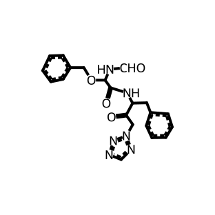 O=CNC(OCc1ccccc1)C(=O)NC(Cc1ccccc1)C(=O)Cn1ncnn1